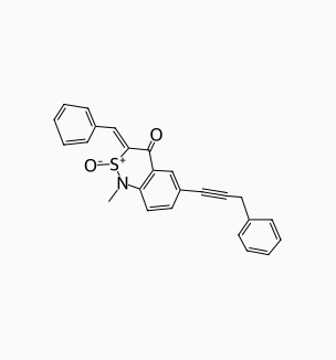 CN1c2ccc(C#CCc3ccccc3)cc2C(=O)C(=Cc2ccccc2)[S+]1[O-]